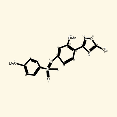 COc1ccc(S(C)(=O)=Nc2ccc(-c3noc(C(F)(F)F)n3)c(OC)c2)cc1